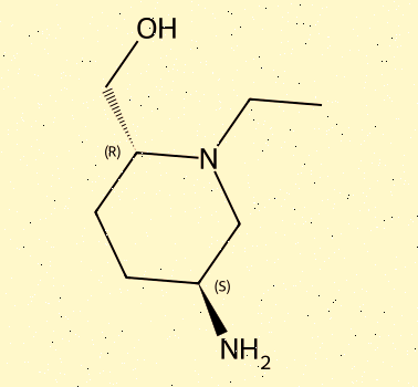 CCN1C[C@@H](N)CC[C@@H]1CO